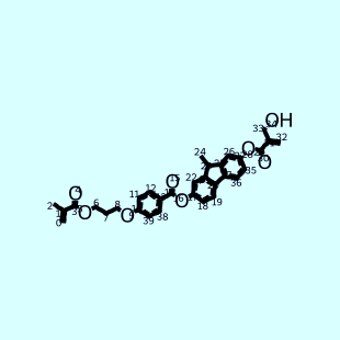 C=C(C)C(=O)OCCCOc1ccc(C(=O)Oc2ccc3c(c2)C(C)c2cc(OC(=O)C(=C)CO)ccc2-3)cc1